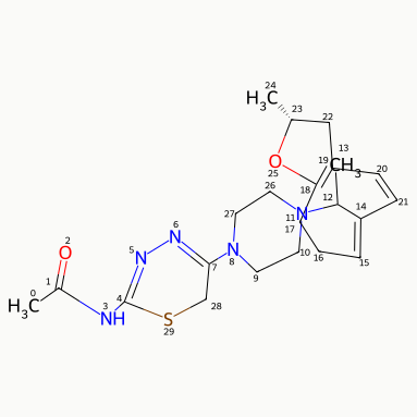 CC(=O)NC1=NN=C(N2CCN(C(C)C3=C\CCC4=C(/C=C\3)C[C@@H](C)O4)CC2)CS1